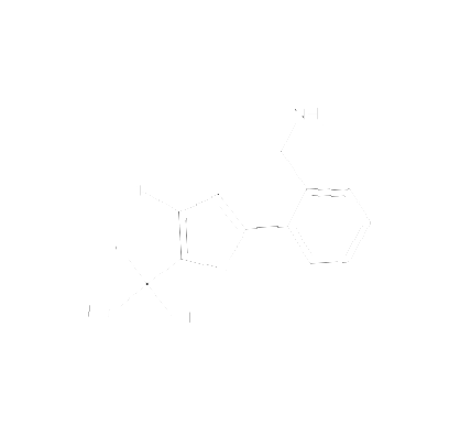 CC(C)(C)c1sc(-c2ccccc2CN)cc1Cl